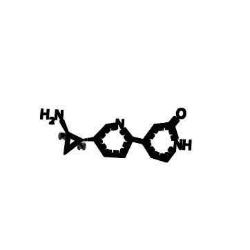 N[C@@H]1C[C@H]1c1ccc(-c2cc[nH]c(=O)c2)nc1